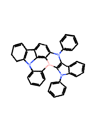 C1=Cc2c(n3c4c5c(ccc24)N(c2ccccc2)c2c(n(-c4ccccc4)c4ccccc24)B5c2ccccc2-3)CC1